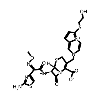 CO/N=C(\C(=O)N[C@@H]1C(=O)N2C(C(=O)[O-])=C(Cn3cc[n+]4c(SCCO)ccc-4c3)CS[C@@H]12)c1csc(N)n1